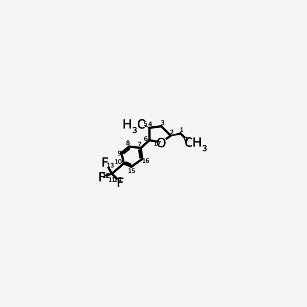 CC[C@@H]1C[C@@H](C)C(c2ccc(C(F)(F)F)cc2)O1